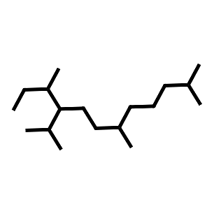 CCC(C)C(CCC(C)CCCC(C)C)C(C)C